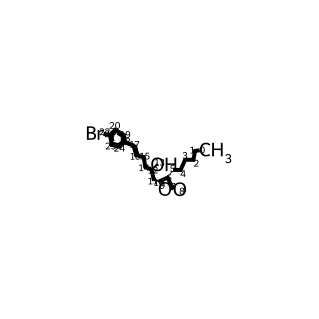 CCCCCC[C@@H]1C(=O)O[C@H]1C[C@H](O)CC/C=C/c1ccc(Br)cc1